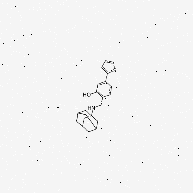 Oc1cc(-c2cccs2)ccc1CNC12CC3CC(CC(C3)C1)C2